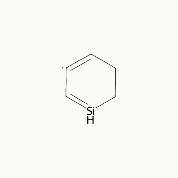 [C]1=CCC[SiH]=C1